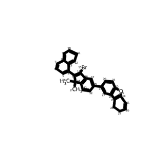 CC1(C)C(c2cccc3ccccc23)=C(Br)c2cc(-c3ccc4oc5c(c4c3)CCC=C5)ccc21